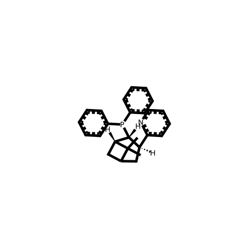 CC1(C)C2C[C@H](c3ccccn3)[C@@H](P(c3ccccc3)c3ccccc3)[C@H]1C2